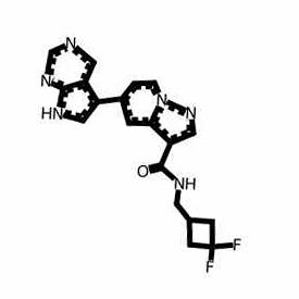 O=C(NCC1CC(F)(F)C1)c1cnn2ccc(-c3c[nH]c4ncncc34)cc12